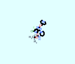 CC(C)(C)OC(=O)N[C@H]1CCCCN(c2nc(OCC34CCCN3CCC4)nc3c(F)c(Cl)ncc23)C1